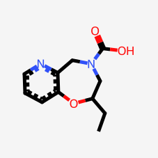 CCC1CN(C(=O)O)Cc2ncccc2O1